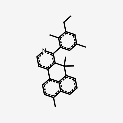 CCc1cc(C)cc(-c2nccc3c2C(C)(C)c2cccc4c(C)ccc-3c24)c1C